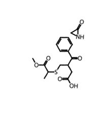 COC(=O)C(C)SCC(CC(=O)O)C(=O)c1ccccc1.O=C1CN1